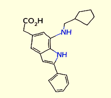 O=C(O)Cc1cc(NCC2CCCC2)c2[nH]c(-c3ccccc3)cc2c1